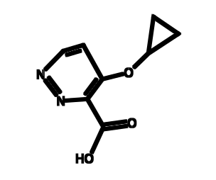 O=C(O)c1nnccc1OC1CC1